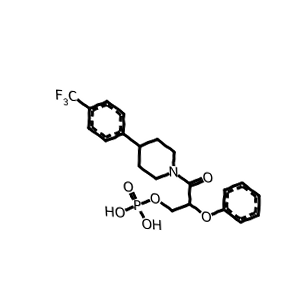 O=C(C(COP(=O)(O)O)Oc1ccccc1)N1CCC(c2ccc(C(F)(F)F)cc2)CC1